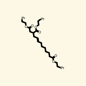 CC(C)CCOC(=O)CCCCCC/C=C/CC(CC(=O)OCCC(C)C)C(=O)OCCC(C)C